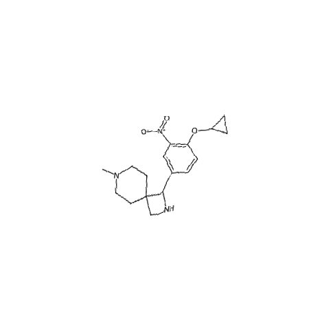 CN1CCC2(CC1)CNC2c1ccc(OC2CC2)c([N+](=O)[O-])c1